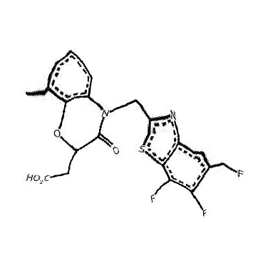 Cc1cccc2c1OC(CC(=O)O)C(=O)N2Cc1nc2cc(F)c(F)c(F)c2s1